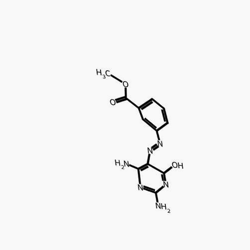 COC(=O)c1cccc(N=Nc2c(N)nc(N)nc2O)c1